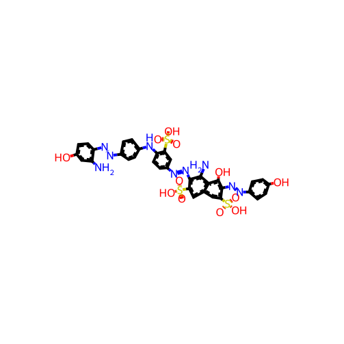 Nc1cc(O)ccc1N=Nc1ccc(Nc2ccc(N=Nc3c(S(=O)(=O)O)cc4cc(S(=O)(=O)O)c(N=Nc5ccc(O)cc5)c(O)c4c3N)cc2S(=O)(=O)O)cc1